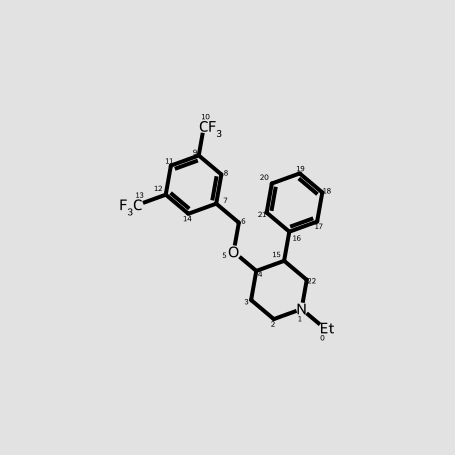 CCN1CCC(OCc2cc(C(F)(F)F)cc(C(F)(F)F)c2)C(c2ccccc2)C1